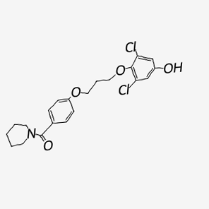 O=C(c1ccc(OCCCOc2c(Cl)cc(O)cc2Cl)cc1)N1CCCCC1